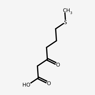 CSCCCC(=O)CC(=O)O